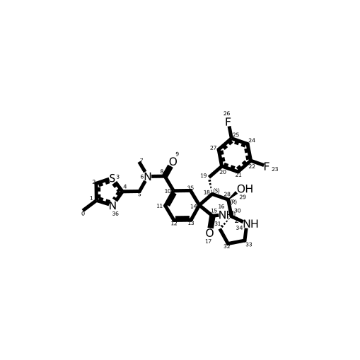 Cc1csc(CN(C)C(=O)C2=CC=CC(C(N)=O)([C@H](Cc3cc(F)cc(F)c3)[C@@H](O)[C@H]3CCCN3)C2)n1